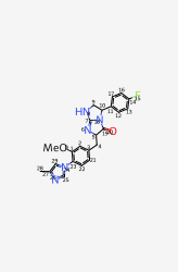 COc1cc(CC2N=C3NCC(c4ccc(F)cc4)N3C2=O)ccc1-n1cnc(C)c1